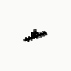 CCCCCCCN(CCCCCCC)C(=O)C(C)C